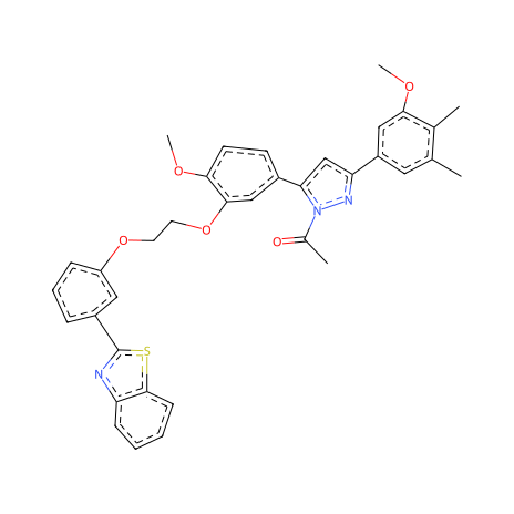 COc1ccc(-c2cc(-c3cc(C)c(C)c(OC)c3)nn2C(C)=O)cc1OCCOc1cccc(-c2nc3ccccc3s2)c1